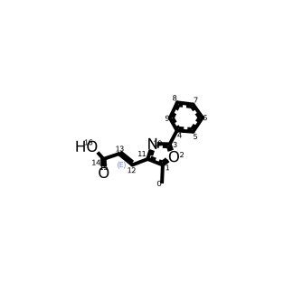 Cc1oc(-c2ccccc2)nc1/C=C/C(=O)O